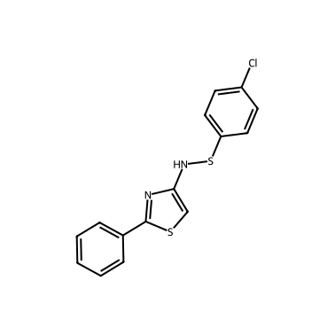 Clc1ccc(SNc2csc(-c3ccccc3)n2)cc1